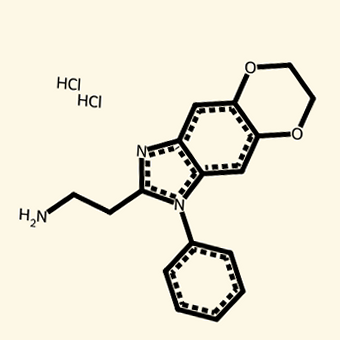 Cl.Cl.NCCc1nc2cc3c(cc2n1-c1ccccc1)OCCO3